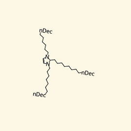 CCCCCCCCCCCCCCCCCCC1N(CCCCCCCCCCCCCCCC)C=CN1CCCCCCCCCCCCCCCCC